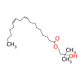 CCCCC/C=C\C/C=C\CCCCCCCC(=O)OCCC(C)(C)O